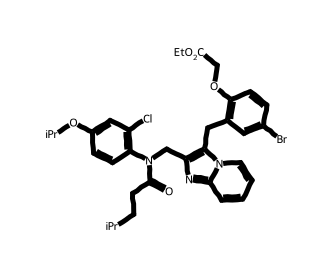 CCOC(=O)COc1ccc(Br)cc1Cc1c(CN(C(=O)CCC(C)C)c2ccc(OC(C)C)cc2Cl)nc2ccccn12